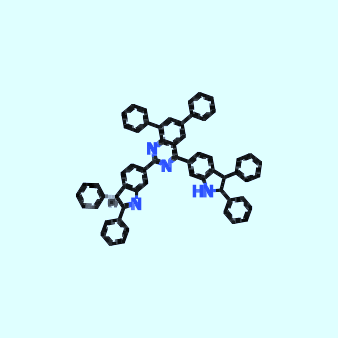 c1ccc(C2=Nc3cc(-c4nc(-c5ccc6c(c5)NC(c5ccccc5)C6c5ccccc5)c5cc(-c6ccccc6)cc(-c6ccccc6)c5n4)ccc3[C@H]2c2ccccc2)cc1